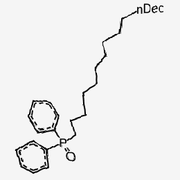 CCCCCCCCCCCCCCCCCCCCP(=O)(c1ccccc1)c1ccccc1